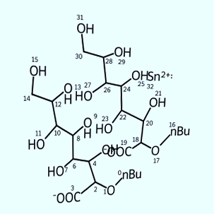 CCCCOC(C(=O)[O-])C(O)C(O)C(O)C(O)C(O)CO.CCCCOC(C(=O)[O-])C(O)C(O)C(O)C(O)C(O)CO.[Sn+2]